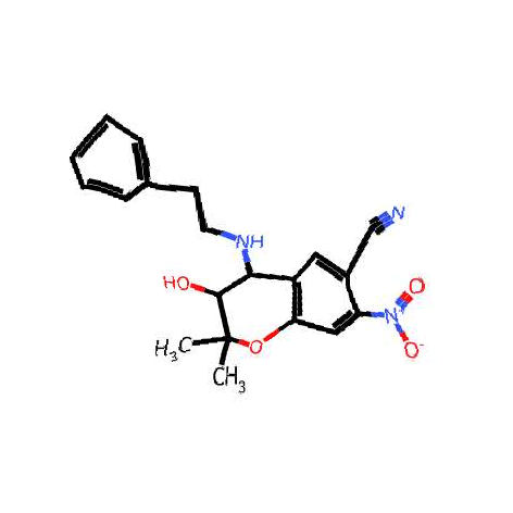 CC1(C)Oc2cc([N+](=O)[O-])c(C#N)cc2C(NCCc2ccccc2)C1O